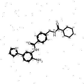 Nc1ccc(-c2cccs2)cc1NC(=O)c1ccc(CNC(=O)C2CCCCC2)cc1